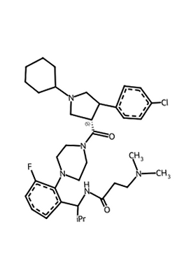 CC(C)C(NC(=O)CCN(C)C)c1cccc(F)c1N1CCN(C(=O)[C@@H]2CN(C3CCCCC3)CC2c2ccc(Cl)cc2)CC1